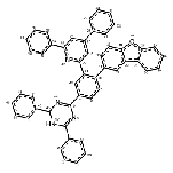 c1ccc(C2=NC(c3ccc(-c4ccc5oc6ccccc6c5c4)c(-c4cc(-c5ccccc5)cc(-c5ccccc5)n4)c3)=NC(c3ccccc3)N2)cc1